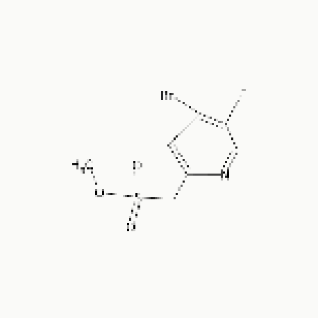 COS(=O)(=O)Cc1cc(Br)c(F)cn1